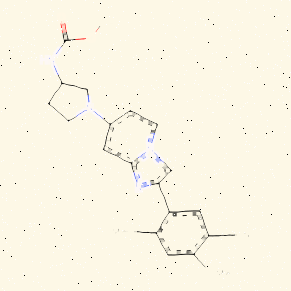 COc1cc(OC)c(-c2cn3ccc(N4CCC(NC(=O)OC(C)(C)C)C4)cc3n2)cc1C#N